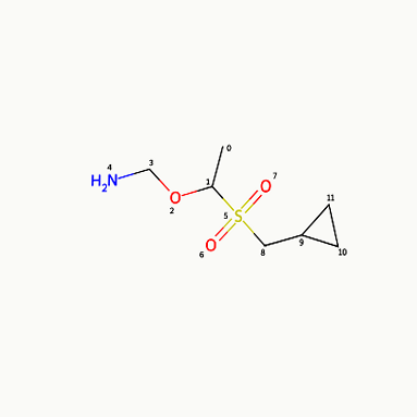 CC(OCN)S(=O)(=O)CC1CC1